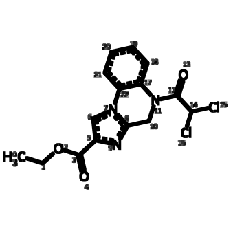 CCOC(=O)c1cn2c(n1)CN(C(=O)C(Cl)Cl)c1ccccc1-2